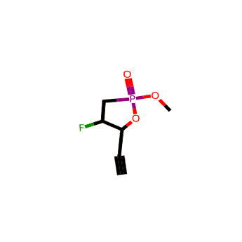 C#CC1OP(=O)(OC)CC1F